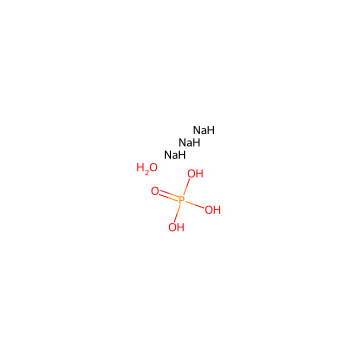 O.O=P(O)(O)O.[NaH].[NaH].[NaH]